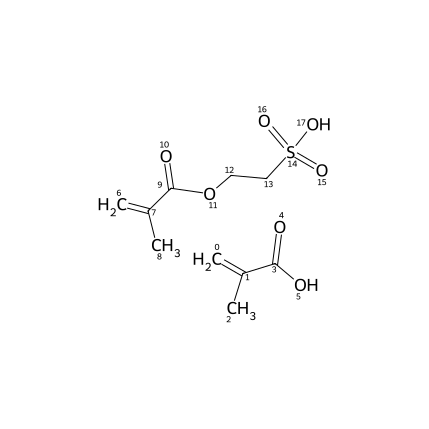 C=C(C)C(=O)O.C=C(C)C(=O)OCCS(=O)(=O)O